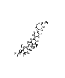 CCCC1CCCC(c2ccc(-c3cc(F)c(C(F)(F)Oc4cc(F)c(OC(F)(F)F)c(F)c4)c(F)c3)cc2)CC1